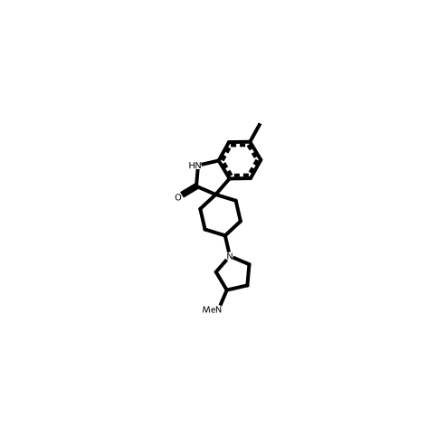 CNC1CCN(C2CCC3(CC2)C(=O)Nc2cc(C)ccc23)C1